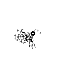 C=CCN(C(=O)OC(C)(C)C)C(=O)C(CC(=C)C)N(CCC(C)C)S(=O)(=O)c1ccc(C)cc1